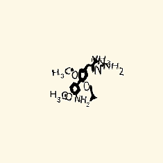 CCOc1cc(Cc2cnc(N)nc2N)cc(OCC2CC2)c1-c1ccc(OC)c(N)c1